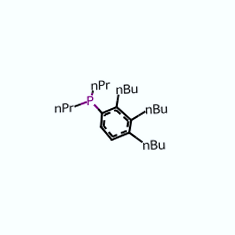 CCCCc1ccc(P(CCC)CCC)c(CCCC)c1CCCC